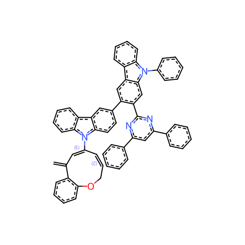 C=C1/C=C(n2c3ccccc3c3cc(-c4cc5c6ccccc6n(-c6ccccc6)c5cc4-c4nc(-c5ccccc5)cc(-c5ccccc5)n4)ccc32)\C=C/COc2ccccc21